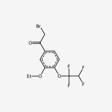 CCOc1cc(C(=O)CBr)ccc1OC(F)(F)C(F)F